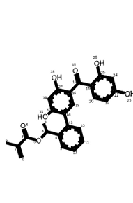 C=C(C)C(=O)OC(C)c1ccccc1-c1cc(C(=O)c2ccc(O)cc2O)c(O)cc1O